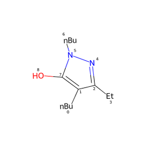 CCCCc1c(CC)nn(CCCC)c1O